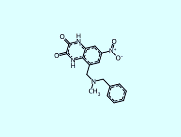 CN(Cc1ccccc1)Cc1cc([N+](=O)[O-])cc2[nH]c(=O)c(=O)[nH]c12